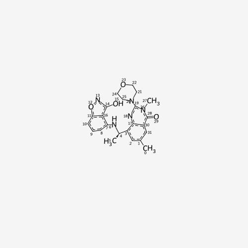 Cc1cc([C@@H](C)Nc2cccc3onc(O)c23)c2nc(N3CCOCC3)n(C)c(=O)c2c1